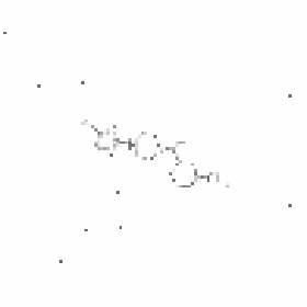 CC(C)c1nnc(N2CCN(C(=O)[C@@H]3CCCN(C)C3)CC2)o1